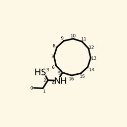 CCC(S)NC1CCCCCCCCCCC1